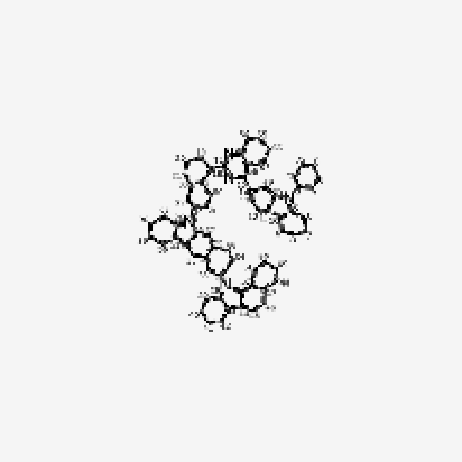 c1ccc(-n2c3ccccc3c3ccc(-c4nc(-c5cccc6cc(-n7c8ccccc8c8cc9cc(-n%10c%11ccccc%11c%11ccc%12ccccc%12c%11%10)ccc9cc87)ccc56)nc5ccccc45)cc32)cc1